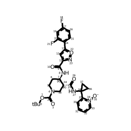 CC(C)(C)OC(=O)N1CC[C@@H](NC(=O)c2cc(-c3ccc(F)cc3F)on2)[C@H](C(=O)NC2(c3cccc[n+]3[O-])CC2)C1